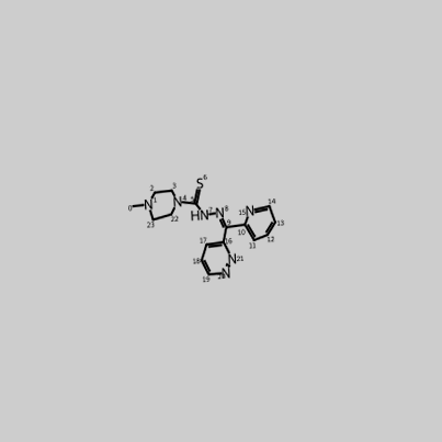 CN1CCN(C(=S)N/N=C(/c2ccccn2)c2cccnn2)CC1